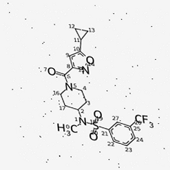 CN(C1CCN(C(=O)c2cc(C3CC3)on2)CC1)S(=O)(=O)c1cccc(C(F)(F)F)c1